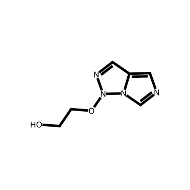 OCCOn1ncc2cncn21